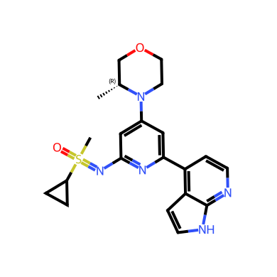 C[C@@H]1COCCN1c1cc(N=S(C)(=O)C2CC2)nc(-c2ccnc3[nH]ccc23)c1